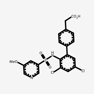 COc1cncc(S(=O)(=O)Nc2c(Cl)cc(Cl)cc2-c2ccc(CC(=O)O)cc2)c1